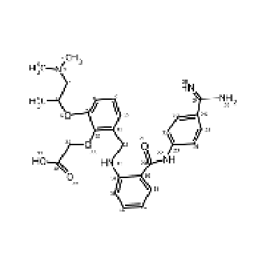 CC(CN(C)C)Oc1cccc(CNc2ccccc2C(=O)Nc2ccc(C(=N)N)cc2)c1OCC(=O)O